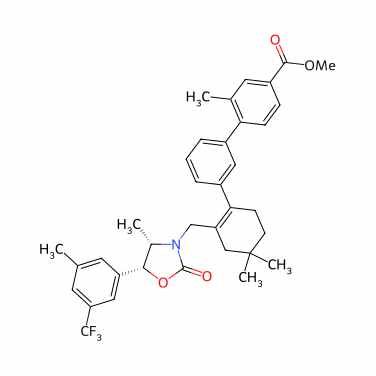 COC(=O)c1ccc(-c2cccc(C3=C(CN4C(=O)O[C@H](c5cc(C)cc(C(F)(F)F)c5)[C@@H]4C)CC(C)(C)CC3)c2)c(C)c1